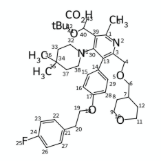 Cc1nc(COCC2CCOCC2)c(-c2ccc(OCCc3ccc(F)cc3)cc2)c(N2CCC(C)(C)CC2)c1C(OC(C)(C)C)C(=O)O